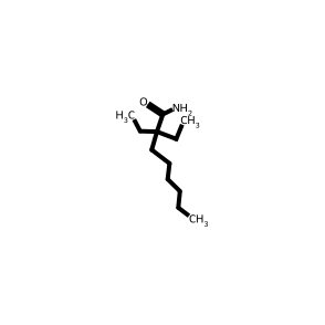 CCCCCCC(CC)(CC)C(N)=O